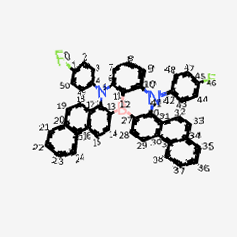 Fc1ccc(N2c3cccc4c3B(c3ccc5c(ccc6ccccc65)c32)c2ccc3c(ccc5ccccc53)c2N4c2ccc(F)cc2)cc1